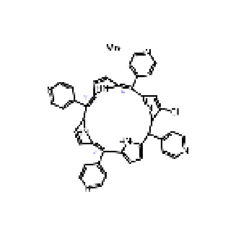 ClC1=CC2=NC1C(c1ccncc1)c1ccc([nH]1)/C(c1ccncc1)=C1/C=CC(N1)/C(c1ccncc1)=c1/cc/c([nH]1)=C/2c1ccncc1.[Mn]